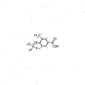 Cc1cc(C(=O)O)ccc1OC(F)(F)F